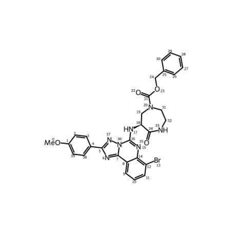 COc1ccc(-c2nc3c4cccc(Br)c4nc(N[C@H]4CN(C(=O)OCc5ccccc5)CCNC4=O)n3n2)cc1